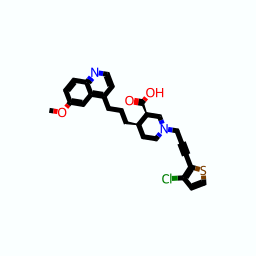 COc1ccc2nccc(CCC[C@@H]3CCN(CC#Cc4sccc4Cl)C[C@@H]3C(=O)O)c2c1